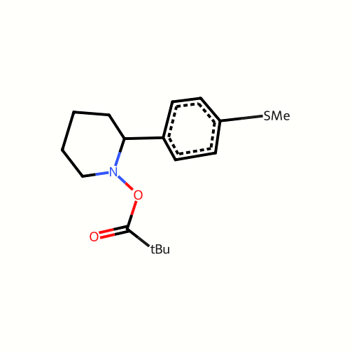 CSc1ccc(C2CCCCN2OC(=O)C(C)(C)C)cc1